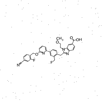 COCCn1c(Cc2ccc(-c3cccc(OCc4ccc(C#N)cc4F)n3)cc2CF)nc2ccc(C(=O)O)cc21